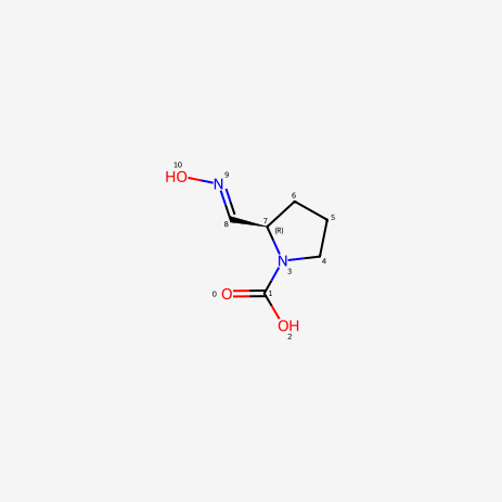 O=C(O)N1CCC[C@@H]1C=NO